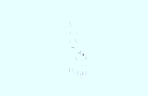 COc1ccc2cc(-c3ccc(O[C@@H]4C[C@H]5CC[C@@H](C4)N5)nn3)c(O)cc2c1